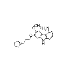 COc1cc2c(cc1OCCCN1CCCC1)[nH]c1ccnc(N)c12